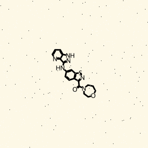 O=C(c1nsc2cc(Nc3n[nH]c4cccnc34)ccc12)N1CCCOCC1